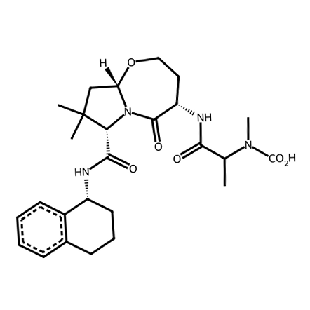 CC(C(=O)N[C@H]1CCO[C@H]2CC(C)(C)[C@@H](C(=O)N[C@@H]3CCCc4ccccc43)N2C1=O)N(C)C(=O)O